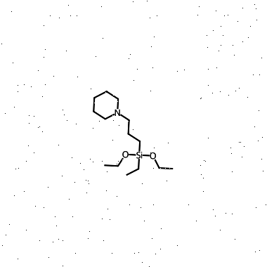 CCO[Si](CC)(CCCN1CCCCC1)OCC